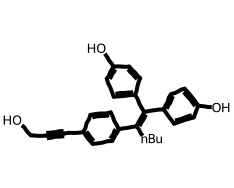 CCCCC(=C(c1ccc(O)cc1)c1ccc(O)cc1)c1ccc(C#CCO)cc1